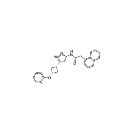 O=C(Cc1cccc2ccccc12)Nc1cc([C@H]2C[C@@H](Oc3ccccn3)C2)[nH]n1